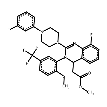 COC(=O)CC1c2cccc(F)c2N=C(N2CCN(c3cccc(F)c3)CC2)N1c1cc(C(F)(F)F)ccc1SC